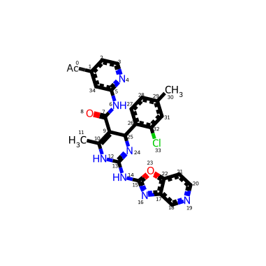 CC(=O)c1ccnc(NC(=O)C2=C(C)NC(Nc3nc4cnccc4o3)=NC2c2ccc(C)cc2Cl)c1